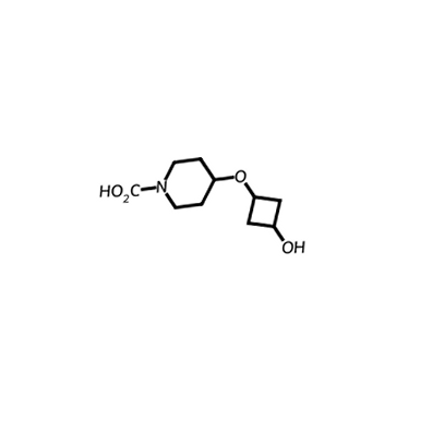 O=C(O)N1CCC(OC2CC(O)C2)CC1